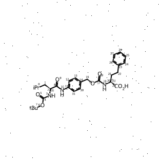 CC(C)C[C@H](NC(=O)OC(C)(C)C)C(=O)Nc1ccc(COC(=O)N[C@@H](CCc2ccccc2)C(=O)O)cc1